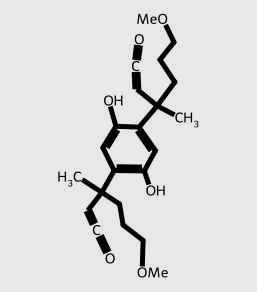 COCCCC(C)(C=C=O)c1cc(O)c(C(C)(C=C=O)CCCOC)cc1O